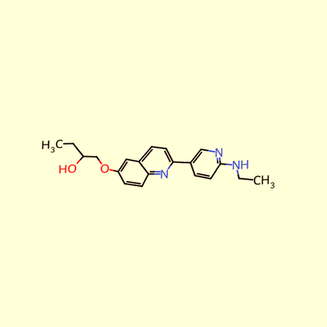 CCNc1ccc(-c2ccc3cc(OCC(O)CC)ccc3n2)cn1